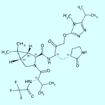 CC(C)c1nnc(OCC(=O)[C@H](C[C@@H]2CCNC2=O)NC(=O)[C@@H]2[C@@H]3[C@H](CN2C(=O)[C@@H](NC(=O)C(F)(F)F)C(C)C)C3(C)C)n1C